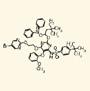 COc1ccccc1Oc1c(NS(=O)(=O)c2ccc(C(C)(C)C)cc2)nc(OC(CC(C)(C)C)O[SiH](c2ccccc2)c2ccccc2)nc1OCCOc1ncc(Br)cn1